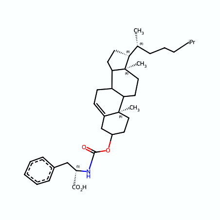 CC(C)CCC[C@@H](C)[C@H]1CCC2C3CC=C4CC(OC(=O)N[C@@H](Cc5ccccc5)C(=O)O)CC[C@]4(C)C3CC[C@@]21C